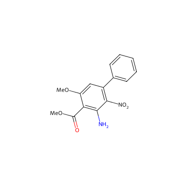 COC(=O)c1c(OC)cc(-c2ccccc2)c([N+](=O)[O-])c1N